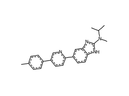 Cc1ccc(-c2ccc(-c3ccc4[nH]c(N(C)C(C)C)nc4c3)nc2)cc1